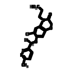 CC[C@@H](Oc1cc2c(cc1Cl)N(CCC(=O)O)C(=O)CO2)c1ccc(C)nn1